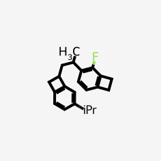 CC(C)c1ccc2c(c1)C(CC(C)c1ccc3c(c1F)CC3)C2